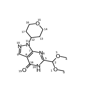 COC(OC)c1nc2c(cnn2C2CCOCC2)c(=O)[nH]1